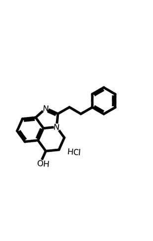 Cl.OC1CCn2c(CCc3ccccc3)nc3cccc1c32